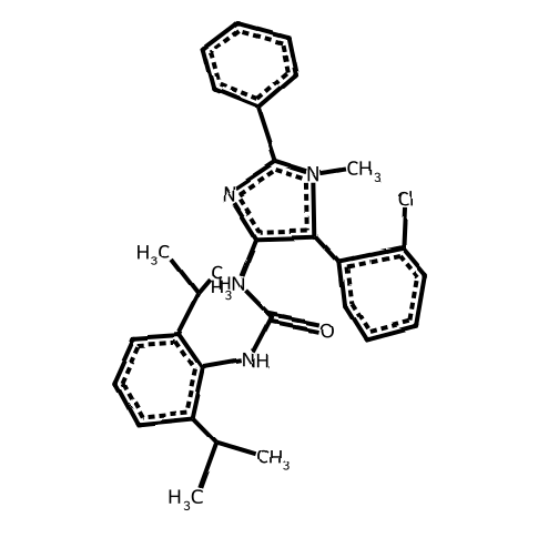 CC(C)c1cccc(C(C)C)c1NC(=O)Nc1nc(-c2ccccc2)n(C)c1-c1ccccc1Cl